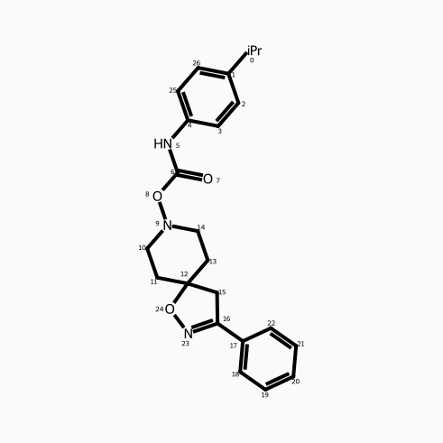 CC(C)c1ccc(NC(=O)ON2CCC3(CC2)CC(c2ccccc2)=NO3)cc1